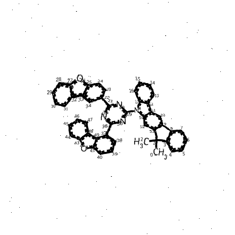 CC1(C)c2ccccc2-c2cc3c4ccccc4n(-c4nc(-c5ccc6oc7ccccc7c6c5)nc(-c5cccc6oc7ccccc7c56)n4)c3cc21